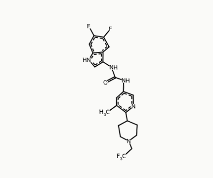 Cc1cc(NC(=O)Nc2c[nH]c3cc(F)c(F)cc23)cnc1C1CCN(CC(F)(F)F)CC1